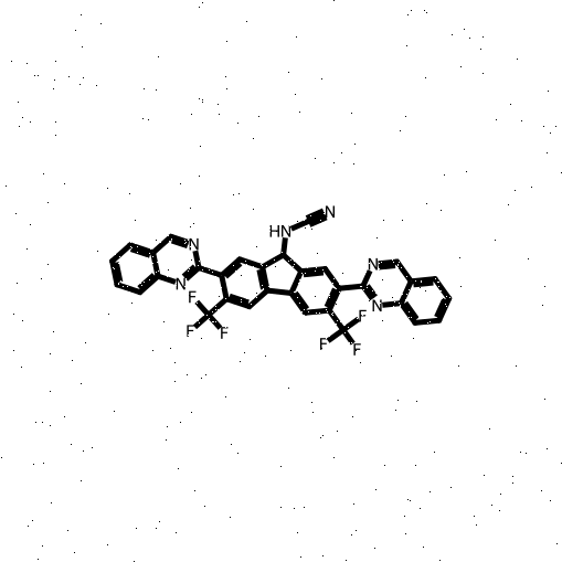 N#CNC1c2cc(-c3ncc4ccccc4n3)c(C(F)(F)F)cc2-c2cc(C(F)(F)F)c(-c3ncc4ccccc4n3)cc21